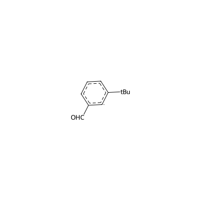 CC(C)(C)c1[c]c(C=O)ccc1